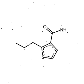 CCCc1sccc1C(N)=O